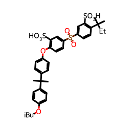 CCC(C)Oc1ccc(C(C)(C)c2ccc(Oc3ccc(S(=O)(=O)c4ccc(C(C)(C)CC)c(S(=O)(=O)O)c4)cc3S(=O)(=O)O)cc2)cc1